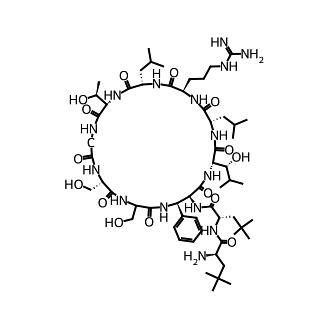 CC(C)C[C@@H]1NC(=O)[C@H]([C@H](O)C(C)C)NC(=O)[C@@H](NC(=O)[C@H](CC(C)(C)C)NC(=O)[C@H](N)CC(C)(C)C)[C@@H](c2ccccc2)NC(=O)C(CO)NC(=O)[C@H](CO)NC(=O)CNC(=O)[C@H]([C@H](C)O)NC(=O)[C@H](CC(C)C)NC(=O)[C@@H](CCCNC(=N)N)NC1=O